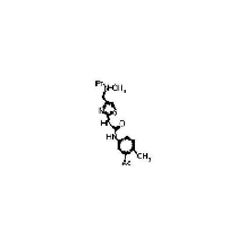 CC(=O)c1cc(NC(=O)Nc2nc(CN(C)C(C)C)cs2)ccc1C